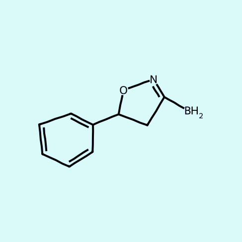 BC1=NOC(c2ccccc2)C1